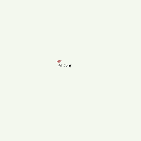 Br.[Co].[Hf].[Mn]